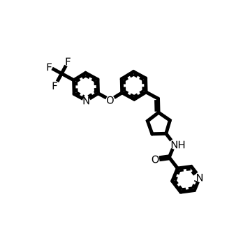 O=C(NC1CCC(=Cc2cccc(Oc3ccc(C(F)(F)F)cn3)c2)C1)c1cccnc1